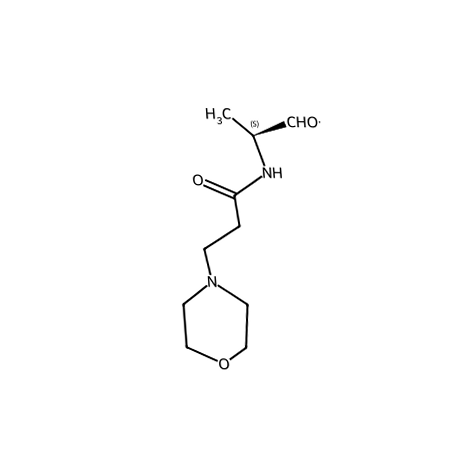 C[C@@H]([C]=O)NC(=O)CCN1CCOCC1